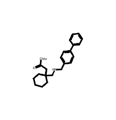 COC(=O)CC1(CNCc2ccc(-c3ccccc3)cc2)CCCCC1